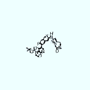 Cc1c(-c2cc3cc(Nc4cc5n(n4)CC(=O)N(C)CC5)ncc3cc2F)cnc2c1N(C(=O)OC(C)(C)C)CCO2